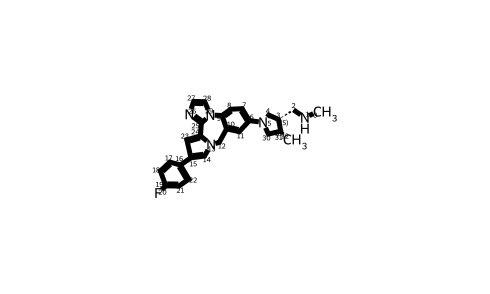 CNC[C@H]1CN(c2ccc3c(c2)Cn2cc(-c4ccc(F)cc4)cc2-c2nccn2-3)C[C@@H]1C